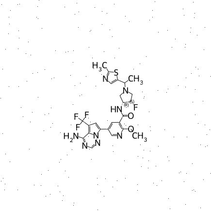 COc1ncc(-c2cc(C(F)(F)F)c3c(N)ncnn23)cc1C(=O)N[C@@H]1CN(C(C)c2cnc(C)s2)C[C@@H]1F